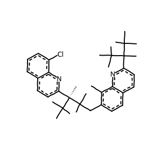 Cc1c(CC(C)(C)[C@](C)(c2ccc3cccc(Cl)c3n2)C(C)(C)C)ccc2ccc(C(C)(C(C)(C)C)C(C)(C)C)nc12